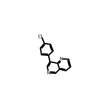 Clc1ccc(-c2cncc3cc[c]nc23)cc1